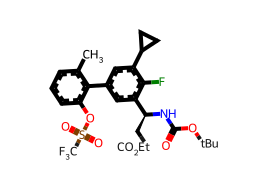 CCOC(=O)C[C@H](NC(=O)OC(C)(C)C)c1cc(-c2c(C)cccc2OS(=O)(=O)C(F)(F)F)cc(C2CC2)c1F